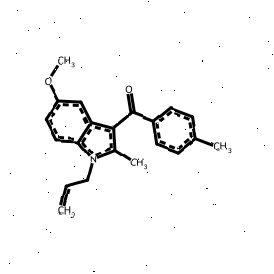 C=CCn1c(C)c(C(=O)c2ccc(C)cc2)c2cc(OC)ccc21